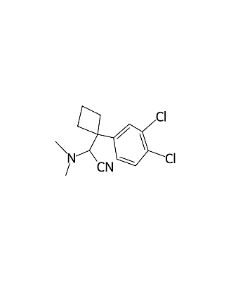 CN(C)C(C#N)C1(c2ccc(Cl)c(Cl)c2)CCC1